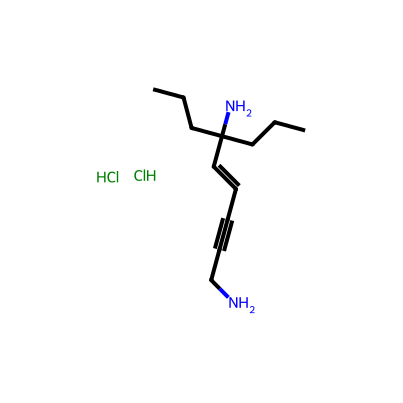 CCCC(N)(C=CC#CCN)CCC.Cl.Cl